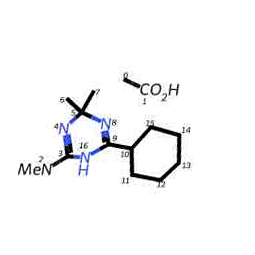 CC(=O)O.CNC1=NC(C)(C)N=C(C2CCCCC2)N1